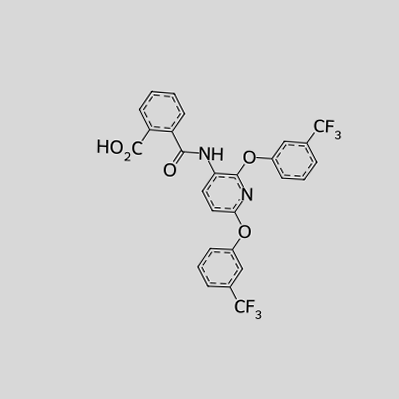 O=C(O)c1ccccc1C(=O)Nc1ccc(Oc2cccc(C(F)(F)F)c2)nc1Oc1cccc(C(F)(F)F)c1